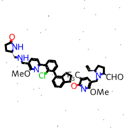 C=C[C@H]1CC[C@@H](C=O)N1Cc1cc(C(F)(F)F)c(O[C@H]2CCc3c(-c4cccc(-c5ccc(CNC[C@@H]6CCC(=O)N6)c(OC)n5)c4Cl)cccc32)nc1OC